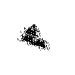 CC(C)(C)c1cc2[c](c(C(C)(C)C)c1)[Al+][c]1c(cc(C(C)(C)C)cc1C(C)(C)C)C2.CC(C)(C)c1cc2[c](c(C(C)(C)C)c1)[Al+][c]1c(cc(C(C)(C)C)cc1C(C)(C)C)C2.CC(C)(C)c1cc2[c](c(C(C)(C)C)c1)[Al+][c]1c(cc(C(C)(C)C)cc1C(C)(C)C)C2.O=P([O-])([O-])[O-]